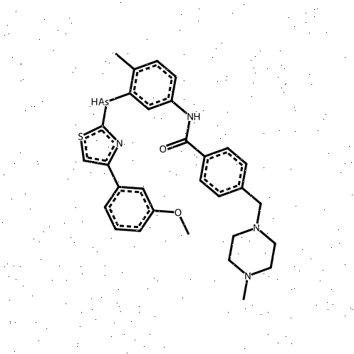 COc1cccc(-c2csc([AsH]c3cc(NC(=O)c4ccc(CN5CCN(C)CC5)cc4)ccc3C)n2)c1